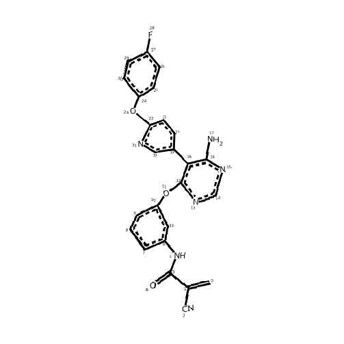 C=C(C#N)C(=O)Nc1cccc(Oc2ncnc(N)c2-c2ccc(Oc3ccc(F)cc3)nc2)c1